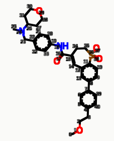 COCCc1ccc(-c2ccc3c(c2)C=C(C(=O)Nc2ccc(CN(C)C4CCOCC4)cc2)CCS3(=O)=O)cc1